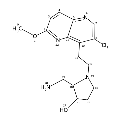 COc1ccc2ncc(Cl)c(CCN3CCC(O)C3CN)c2n1